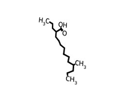 CCCC(C)CCCCCCCC(CCC)C(=O)O